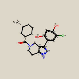 CO[C@@H]1CCC[C@H](C(=O)N2CCc3[nH]nc(-c4cc(Cl)c(O)cc4O)c3C2)C1